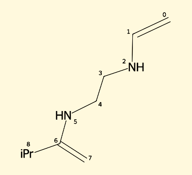 C=CNCCNC(=C)C(C)C